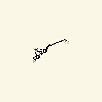 CCCCCCCCCCC#Cc1ccc(CN(C(=O)C(=O)O)c2ccc(C(F)(F)F)cc2)cc1